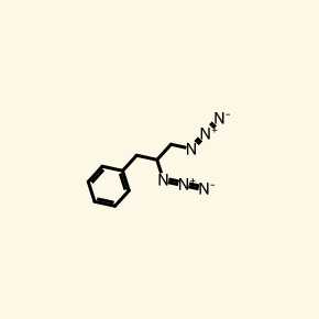 [N-]=[N+]=NCC(Cc1ccccc1)N=[N+]=[N-]